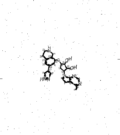 Cc1ncnc2c1ccn2C1CC(Oc2cc(-c3cn[nH]c3)cc3c2CNCC3)C(O)C1O